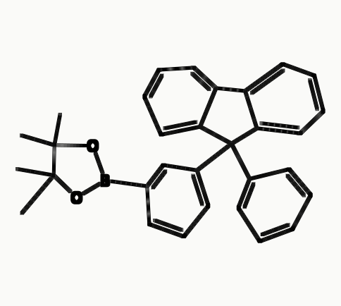 CC1(C)OB(c2cccc(C3(c4ccccc4)c4ccccc4-c4ccccc43)c2)OC1(C)C